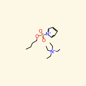 CCCCOS(=O)(=O)[n+]1ccccc1.CC[N+](CC)(CC)CC